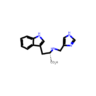 O=C(O)[C@H](Cc1c[nH]c2ccccc12)NCc1c[nH]cn1